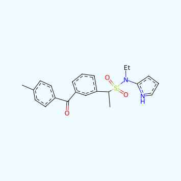 CCN(c1ccc[nH]1)S(=O)(=O)C(C)c1cccc(C(=O)c2ccc(C)cc2)c1